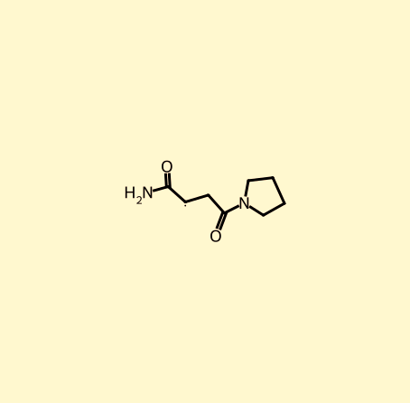 NC(=O)[CH]CC(=O)N1CCCC1